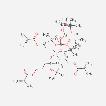 C=C(C)C(=O)OCCC[Si](C)(O[Si](C)(C)C)O[Si](CCCOC(=O)C(=C)C)(CCCOC(=O)C(=C)C)O[Si](O[Si](C)(C)C)(O[Si](C)(C)C)O[Si](O[Si](C)(C)C)(O[Si](C)(C)C)O[Si](C)(C)C